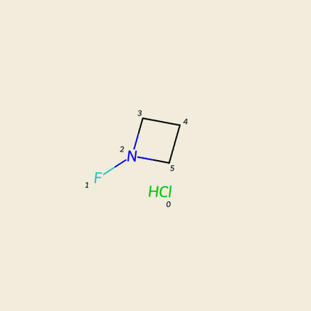 Cl.FN1CCC1